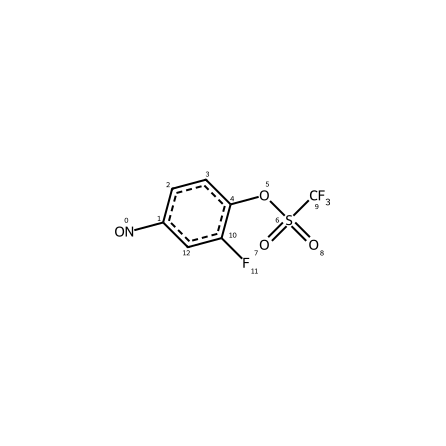 O=Nc1ccc(OS(=O)(=O)C(F)(F)F)c(F)c1